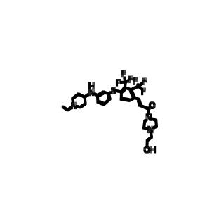 CCN1CCC(Nc2cccc(Sc3ccc(C=CC(=O)N4CCN(CCO)CC4)c(C(F)(F)F)c3C(F)(F)F)c2)CC1